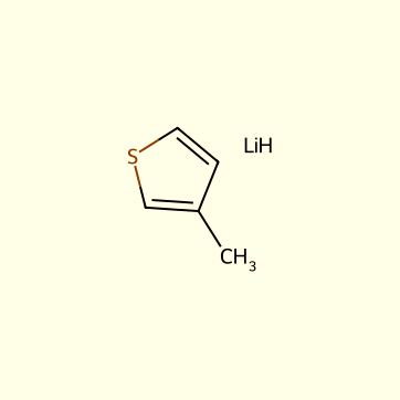 Cc1ccsc1.[LiH]